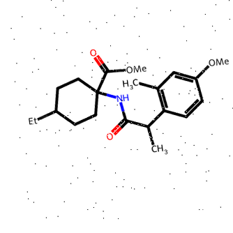 CCC1CCC(NC(=O)C(C)c2ccc(OC)cc2C)(C(=O)OC)CC1